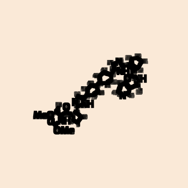 COC(=O)N[C@H](C(=O)N1CCC[C@H]1c1ncc(-c2ccc(-c3ccc(-c4cnc([C@H]5C6CCC(C6)[C@@H]5C(=O)N[C@H](C)c5cccnc5)[nH]4)cc3)cc2)[nH]1)[C@@H](C)OC